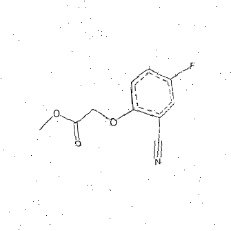 COC(=O)COc1c[c]c(F)cc1C#N